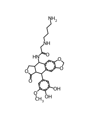 COc1cc(C2c3cc4c(cc3C(NC(=O)CNCCCCN)C3COC(=O)C23)OCO4)cc(O)c1O